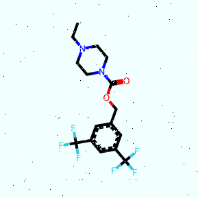 [CH2]CN1CCN(C(=O)OCc2cc(C(F)(F)F)cc(C(F)(F)F)c2)CC1